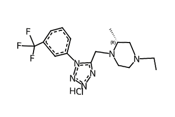 CCN1CCN(Cc2nnnn2-c2cccc(C(F)(F)F)c2)[C@H](C)C1.Cl